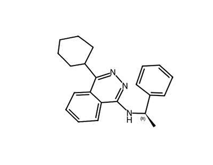 C[C@@H](Nc1nnc(C2CCCCC2)c2ccccc12)c1ccccc1